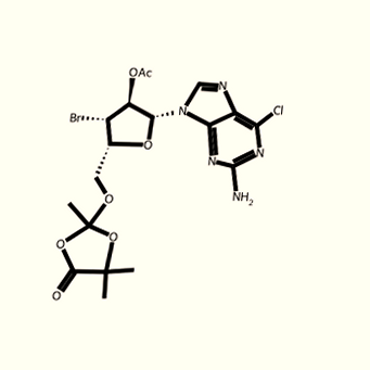 CC(=O)O[C@@H]1[C@@H](Br)[C@@H](COC2(C)OC(=O)C(C)(C)O2)O[C@H]1n1cnc2c(Cl)nc(N)nc21